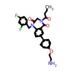 CCCC(=O)N1CC(=O)N(Cc2ccc(F)cc2F)c2ccc(-c3ccc(OCCN)cc3)cc2C1=O